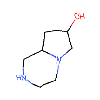 OC1CC2CNCCN2C1